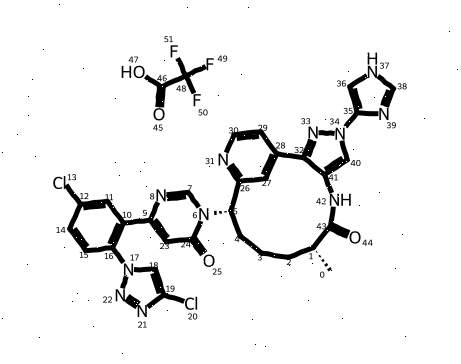 C[C@@H]1CCC[C@H](n2cnc(-c3cc(Cl)ccc3-n3cc(Cl)nn3)cc2=O)c2cc(ccn2)-c2nn(-c3c[nH]cn3)cc2NC1=O.O=C(O)C(F)(F)F